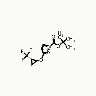 CC(C)(C)OC(=O)n1ccc(OC2C[C@@H]2C(F)(F)F)n1